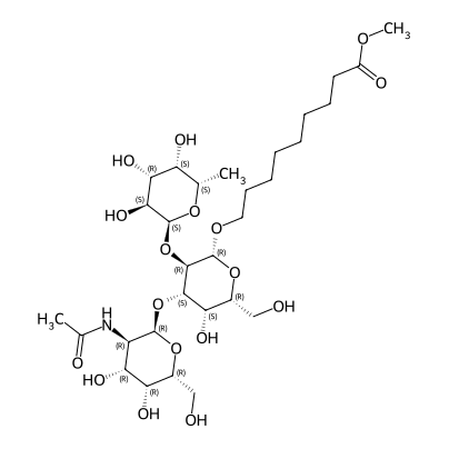 COC(=O)CCCCCCCCO[C@@H]1O[C@H](CO)[C@H](O)[C@H](O[C@H]2O[C@H](CO)[C@H](O)[C@H](O)[C@H]2NC(C)=O)[C@H]1O[C@@H]1O[C@@H](C)[C@@H](O)[C@@H](O)[C@@H]1O